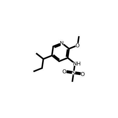 CCC(C)c1cnc(OC)c(NS(C)(=O)=O)c1